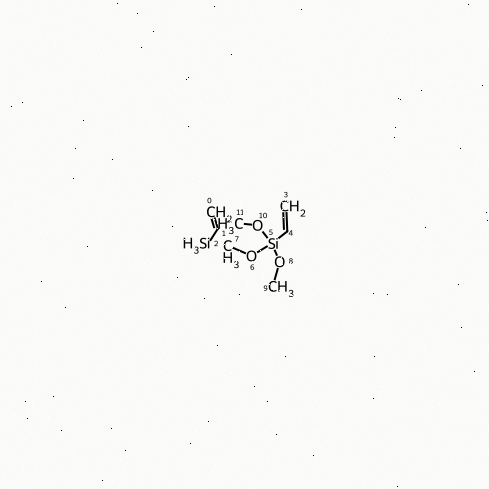 C=C[SiH3].C=C[Si](OC)(OC)OC